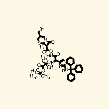 CC(C)(C)OC(=O)C(C)(C)ON=C(C(=O)NOC(=O)C1C(=O)N2C=C(CBr)CS[C@@H]12)c1csc(NC(c2ccccc2)(c2ccccc2)c2ccccc2)n1